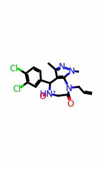 C=CCN1C(=O)C[NH+]([O-])C(c2ccc(Cl)c(Cl)c2)c2c(C)nn(C)c21